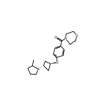 CC1CCCN1[C@H]1C[C@H](Oc2ccc(C(=O)N3CCOCC3)cc2)C1